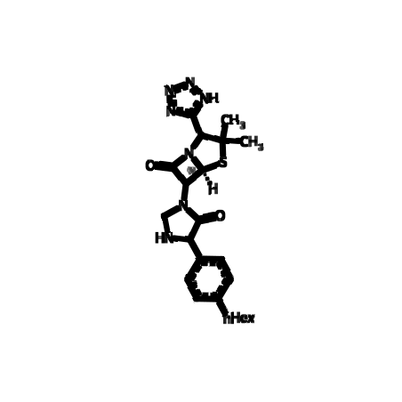 CCCCCCc1ccc(C2NCN(C3C(=O)N4C(c5nnn[nH]5)C(C)(C)S[C@@H]34)C2=O)cc1